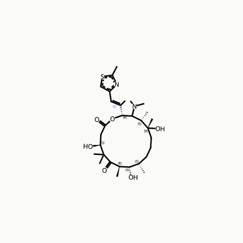 C/C(=C\c1csc(C)n1)[C@H]1OC(=O)C[C@H](O)C(C)(C)C(=O)[C@H](C)[C@@H](O)[C@@H](C)CCC[C@@](C)(O)[C@@H](C)C1N(C)C